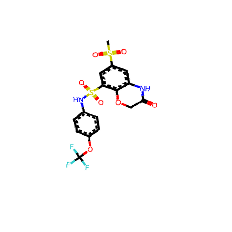 CS(=O)(=O)c1cc2c(c(S(=O)(=O)Nc3ccc(OC(F)(F)F)cc3)c1)OCC(=O)N2